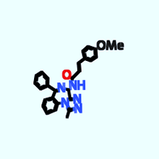 COc1ccc(C=CC(=O)NC2N=C(c3ccccc3)c3ccccc3-n3c(C)nnc32)cc1